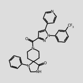 O=C(c1cc(-c2ccncc2)n(-c2cccc(C(F)(F)F)c2)n1)N1CCC2(CC1)C(=O)NCN2c1ccccc1